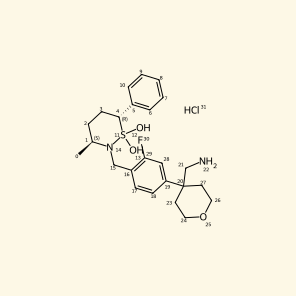 C[C@H]1CC[C@H](c2ccccc2)S(O)(O)N1Cc1ccc(C2(CN)CCOCC2)cc1F.Cl